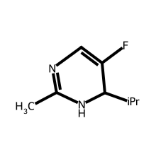 CC1=NC=C(F)C(C(C)C)N1